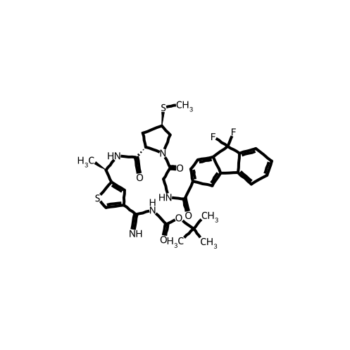 CS[C@@H]1C[C@@H](C(=O)N[C@H](C)c2cc(C(=N)NC(=O)OC(C)(C)C)cs2)N(C(=O)CNC(=O)c2ccc3c(c2)-c2ccccc2C3(F)F)C1